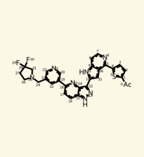 CC(=O)c1ccc(-c2nccc3[nH]c(-c4n[nH]c5ccc(-c6cncc(CN7CCC(F)(F)C7)c6)nc45)cc23)s1